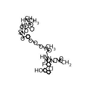 C=CC(=O)N1CCN(c2nc(NCCC(=O)N(C)CCOCCOCCOc3cccc(C(=O)c4csc([C@@H]5CCCN5C(=O)C(NC(=O)C(C)NC)C5CCCCC5)n4)c3)nc3c(F)c(-c4cc(O)cc5ccccc45)c(Cl)cc23)CC1